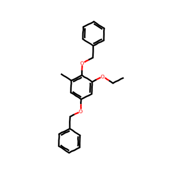 CCOc1cc(OCc2ccccc2)cc(C)c1OCc1ccccc1